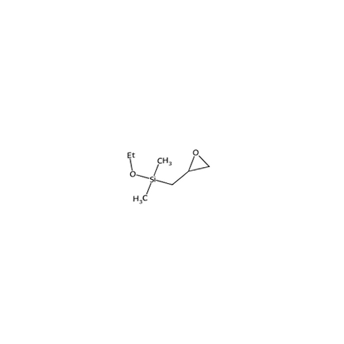 CCO[Si](C)(C)CC1CO1